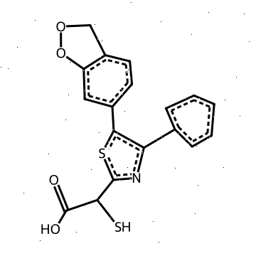 O=C(O)C(S)c1nc(-c2ccccc2)c(-c2ccc3c(c2)OOC3)s1